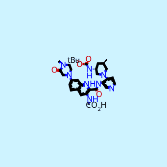 C[C@@H]1C[C@@H](NC(=O)OC(C)(C)C)CN(c2ccncc2NC(=O)c2nc3cc(N4CCN(C)C(=O)C4)ccc3cc2NC(=O)O)C1